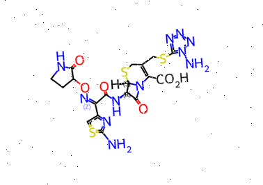 Nc1nc(/C(=N/OC2CCNC2=O)C(=O)N[C@@H]2C(=O)N3C(C(=O)O)=C(CSc4nnnn4N)CS[C@@H]23)cs1